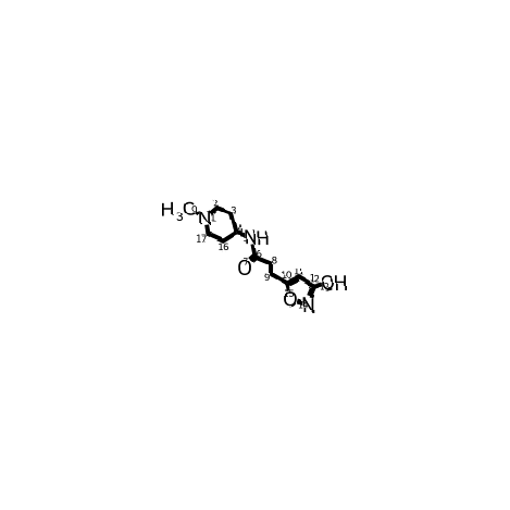 CN1CCC(NC(=O)CCc2cc(O)no2)CC1